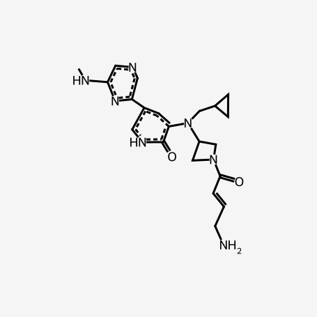 CNc1cncc(-c2c[nH]c(=O)c(N(CC3CC3)C3CN(C(=O)/C=C/CN)C3)c2)n1